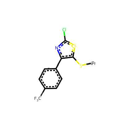 CC(C)Sc1sc(Cl)nc1-c1ccc(C(F)(F)F)cc1